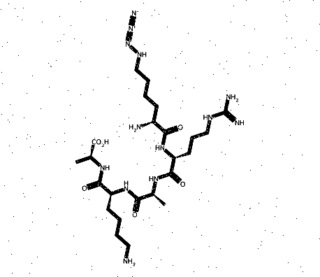 C[C@H](NC(=O)[C@H](CCCCN)NC(=O)[C@H](C)NC(=O)[C@H](CCCNC(=N)N)NC(=O)[C@@H](N)CCCCNN=[N+]=[N-])C(=O)O